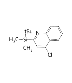 CC(C)(C)[Si](C)(C)c1cc(Cl)c2ccccc2n1